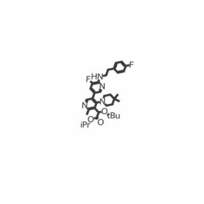 Cc1ncc(-c2cnc(NCCc3ccc(F)cc3)c(F)c2)c(N2CCC(C)(C)CC2)c1C(OC(C)(C)C)C(=O)OC(C)C